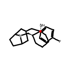 N[C@@H]1CCCC[C@H]1CN1C2CCC1CC(Cc1ccc(F)cc1)C2